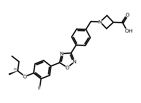 CC[C@H](C)Oc1ccc(-c2nc(-c3ccc(CN4CC(C(=O)O)C4)cc3)no2)cc1F